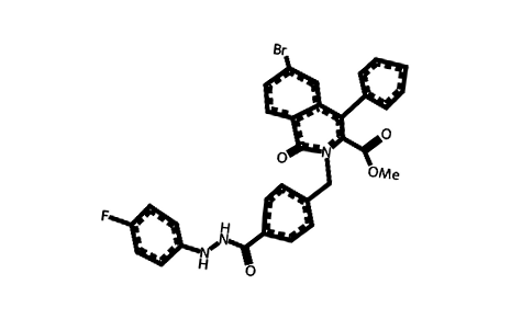 COC(=O)c1c(-c2ccccc2)c2cc(Br)ccc2c(=O)n1Cc1ccc(C(=O)NNc2ccc(F)cc2)cc1